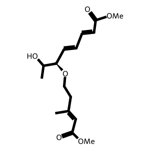 COC(=O)/C=C/C=C/[C@@H](OCC/C(C)=C/C(=O)OC)C(C)O